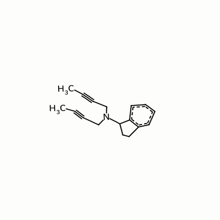 CC#CCN(CC#CC)C1CCc2ccccc21